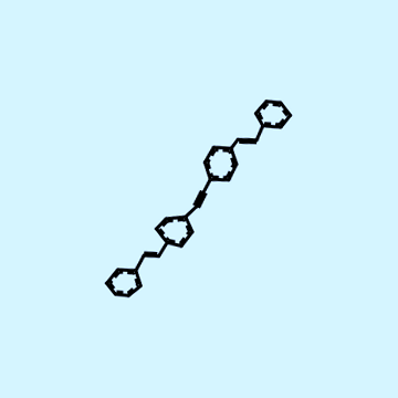 C(#Cc1ccc(C=Cc2ccccc2)cc1)c1ccc(C=Cc2ccccc2)cc1